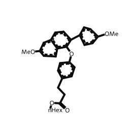 CCCCCCOC(=O)CCc1ccc(Oc2c(-c3ccc(OC)cc3)ccc3cc(OC)ccc23)cc1